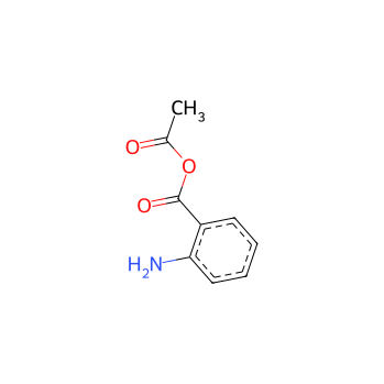 CC(=O)OC(=O)c1ccccc1N